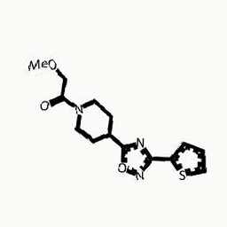 COCC(=O)N1CCC(c2nc(-c3cccs3)no2)CC1